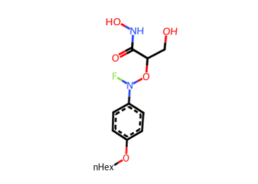 CCCCCCOc1ccc(N(F)OC(CO)C(=O)NO)cc1